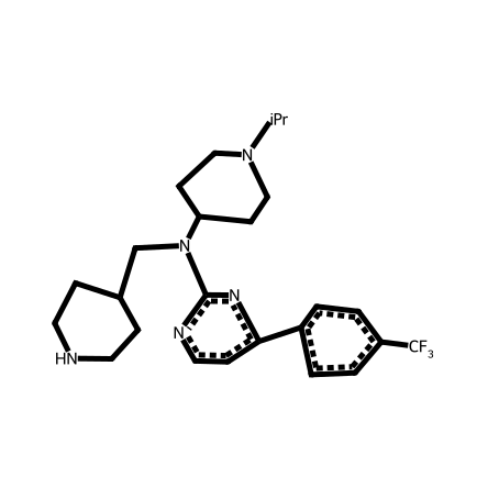 CC(C)N1CCC(N(CC2CCNCC2)c2nccc(-c3ccc(C(F)(F)F)cc3)n2)CC1